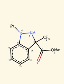 COC(=O)C1(C(F)(F)F)NN(C(C)C)c2ccccc21